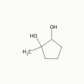 [CH2]C1(O)CCCC1O